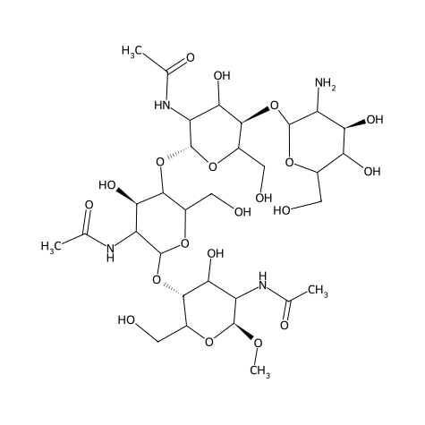 CO[C@H]1OC(CO)[C@H](OC2OC(CO)C(O[C@H]3OC(CO)[C@H](OC4OC(CO)C(O)[C@H](O)C4N)C(O)C3NC(C)=O)[C@H](O)C2NC(C)=O)C(O)C1NC(C)=O